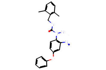 C=Nc1cc(Oc2ccccc2)ccc1N(N)C(=O)NCc1c(C)cccc1C